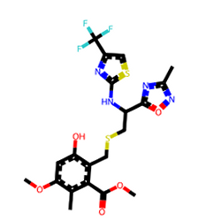 COC(=O)c1c(C)c(OC)cc(O)c1CSCC(Nc1nc(C(F)(F)F)cs1)c1nc(C)no1